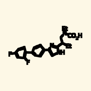 CCC(CN(CC)C(=O)O)c1nc(-c2ccc(-c3ccc(F)cc3F)cc2)c[nH]1